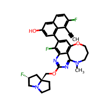 C#Cc1c(F)ccc2cc(O)cc(-c3cc4c5c(nc(OC[C@@]67CCCN6C[C@H](F)C7)nc5c3F)N(C)CCCO4)c12